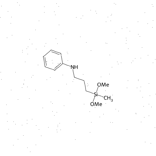 CO[Si](C)(CCCNc1ccccc1)OC